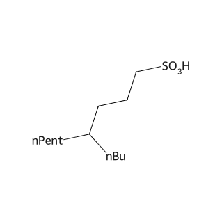 CCCCCC(CCCC)CCCS(=O)(=O)O